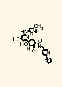 Cc1cc(Nc2cc(C)[nH]n2)nc([C@@]2(O)CC[C@H](C(=O)NCc3ccc(-n4cccn4)nc3)[C@H](C)C2)c1